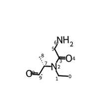 CCN(C(=O)CN)[C@@H](C)[C]=O